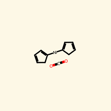 C1=CC[C]([Ni][C]2=CC=CC2)=C1.O=C=O